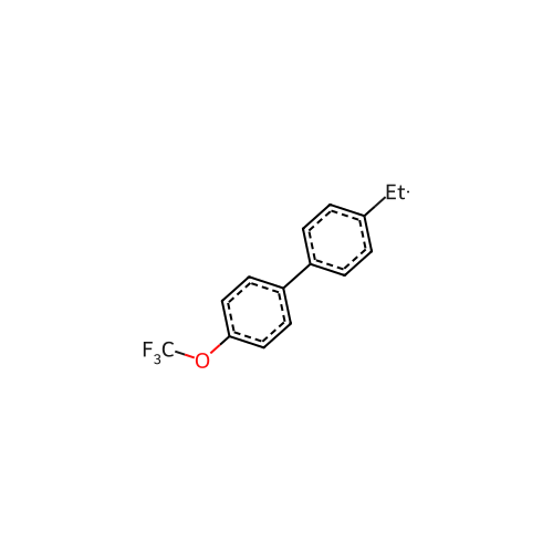 C[CH]c1ccc(-c2ccc(OC(F)(F)F)cc2)cc1